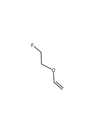 C=COCCF